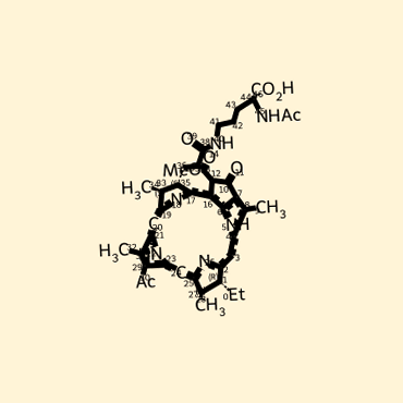 CC[C@H]1c2cc3[nH]c4c(c3C)C(=O)C(C(=O)OC)c4c3nc(cc4[nH]c(cc(n2)[C@@H]1C)c(C(C)=O)c4C)[C@@H](C)[C@@H]3CCC(=O)NCCCC(NC(C)=O)C(=O)O